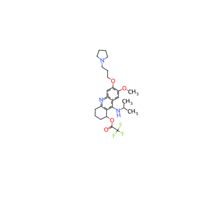 COc1cc2c(NC(C)C)c3c(nc2cc1OCCCN1CCCC1)CCCC3OC(=O)C(F)(F)F